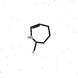 FC1CCCC=CN1